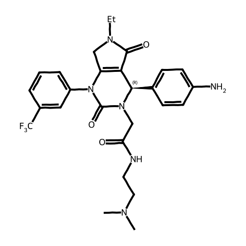 CCN1CC2=C(C1=O)[C@@H](c1ccc(N)cc1)N(CC(=O)NCCN(C)C)C(=O)N2c1cccc(C(F)(F)F)c1